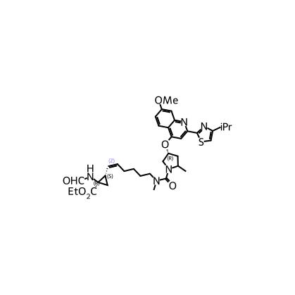 CCOC(=O)[C@@]1(NC=O)C[C@H]1/C=C\CCCCN(C)C(=O)N1C[C@H](Oc2cc(-c3nc(C(C)C)cs3)nc3cc(OC)ccc23)CC1C